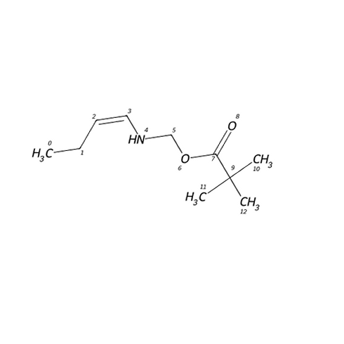 CC/C=C\NCOC(=O)C(C)(C)C